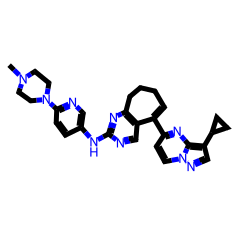 CN1CCN(c2ccc(Nc3ncc4c(n3)CCCC=C4c3ccn4ncc(C5CC5)c4n3)cn2)CC1